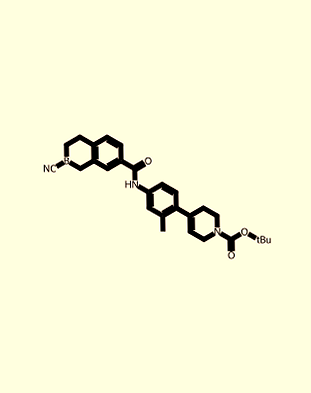 Cc1cc(NC(=O)c2ccc3c(c2)CB(C#N)CC3)ccc1C1=CCN(C(=O)OC(C)(C)C)CC1